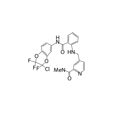 CNC(=O)c1cc(CNc2ccccc2C(=O)Nc2ccc3c(c2)OC(F)(Cl)C(F)(F)O3)ccn1